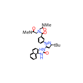 CNC(=O)CN(CC(=O)NC)C(=O)c1cccc(-n2nc(C(C)(C)C)cc2NC(=O)Nc2cccc3ccccc23)c1